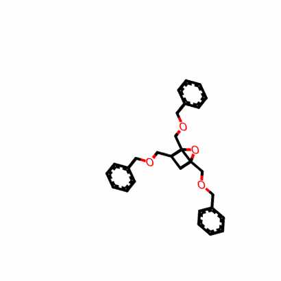 c1ccc(COCC2CC3(COCc4ccccc4)OC23COCc2ccccc2)cc1